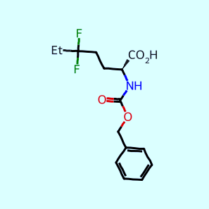 CCC(F)(F)CC[C@H](NC(=O)OCc1ccccc1)C(=O)O